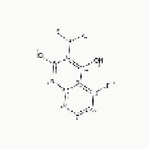 CC(C)c1c(O)nc2cccc(F)c2c1O